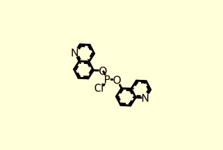 ClP(Oc1cccc2ncccc12)Oc1cccc2ncccc12